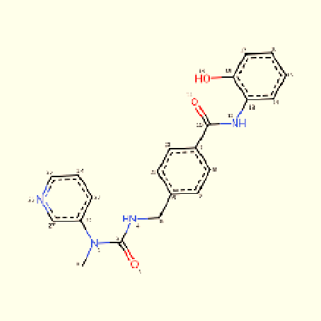 CN(C(=O)NCc1ccc(C(=O)Nc2ccccc2O)cc1)c1cccnc1